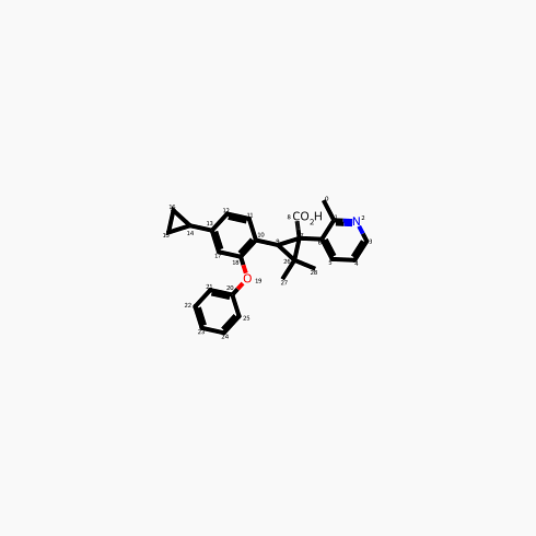 Cc1ncccc1C1(C(=O)O)C(c2ccc(C3CC3)cc2Oc2ccccc2)C1(C)C